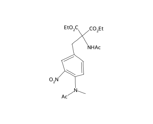 CCOC(=O)C(Cc1ccc(N(C)C(C)=O)c([N+](=O)[O-])c1)(NC(C)=O)C(=O)OCC